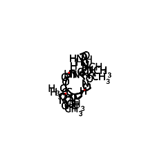 CO[C@@H](C)c1ncccc1-c1c2c3cc(ccc3n1CC(F)(F)F)[C@@H]1CCCN(C1)C[C@H](NC(=O)[C@H](C(C)C)N(C)C(=O)N1C[C@@H]3OCCN[C@@H]3C1)C(=O)N1CCC[C@H](N1)C(=O)OCC(C)(C)C2